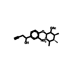 C#CCC(O)c1ccc(O[C@@H]2OC(C)[C@@H](C)[C@H](C)C2OC(C)=O)c([N+](=O)[O-])c1